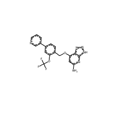 Nc1cc(OCc2ccc(-c3cccnc3)cc2OC(F)(F)F)c2nn[nH]c2n1